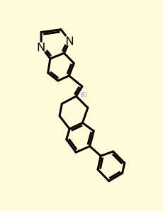 C(=C1/CCc2ccc(-c3ccccc3)cc2C1)/c1ccc2nccnc2c1